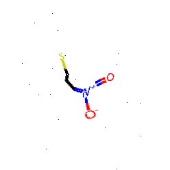 O=[N+]([O-])C[S]